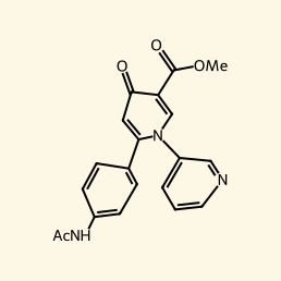 COC(=O)c1cn(-c2cccnc2)c(-c2ccc(NC(C)=O)cc2)cc1=O